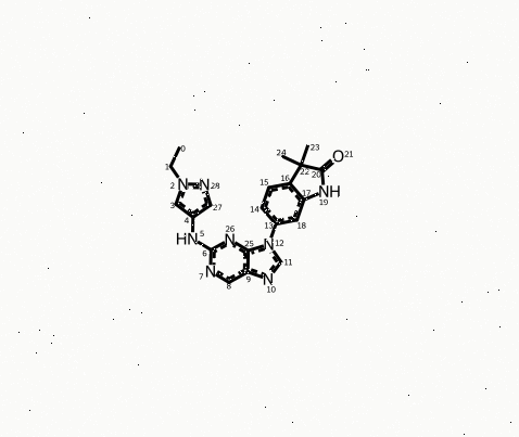 CCn1cc(Nc2ncc3ncn(-c4ccc5c(c4)NC(=O)C5(C)C)c3n2)cn1